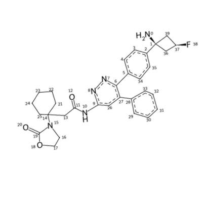 N[C@]1(c2ccc(-c3nnc(NC(=O)CC4(N5CCOC5=O)CCCCC4)cc3-c3ccccc3)cc2)C[C@H](F)C1